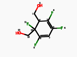 OCC1C(F)=C(F)C=C(F)C1(F)CO